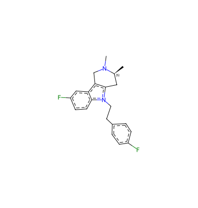 C[C@H]1Cc2c(c3cc(F)ccc3n2CCc2ccc(F)cc2)CN1C